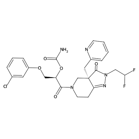 NC(=O)O[C@H](COc1cccc(Cl)c1)C(=O)N1CCC2=NN(CC(F)F)C(=O)[C@]2(Cc2ccccn2)C1